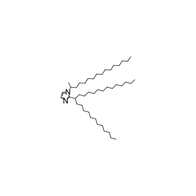 CCCCCCCCCCCCCCC(C)n1ccnc1C(CCCCCCCCCCCC)CCCCCCCCCCCCC